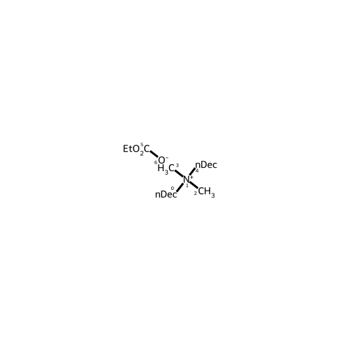 CCCCCCCCCC[N+](C)(C)CCCCCCCCCC.CCOC(=O)[O-]